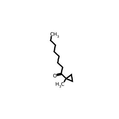 CCCCCCCC(=O)C1(C)CC1